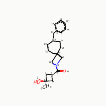 C[C@]1(O)C[C@@H](C(=O)N2CC3(CCC(Cc4ccccc4)CC3)C2)C1